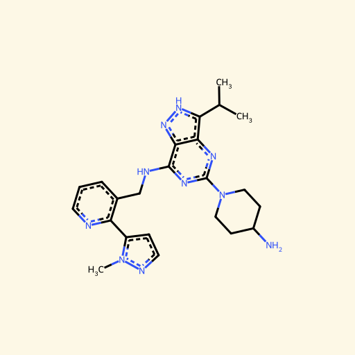 CC(C)c1[nH]nc2c(NCc3cccnc3-c3ccnn3C)nc(N3CCC(N)CC3)nc12